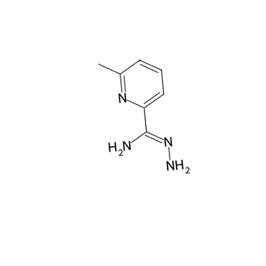 Cc1cccc(/C(N)=N/N)n1